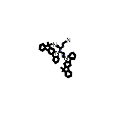 CC1(C)c2ccccc2-c2cc3c4ccccc4n(/C=C/C(=C(C#N)\C=C\C#N)n4c5ccccc5c5cc6c(cc54)C(C)(C)c4ccccc4-6)c3cc21